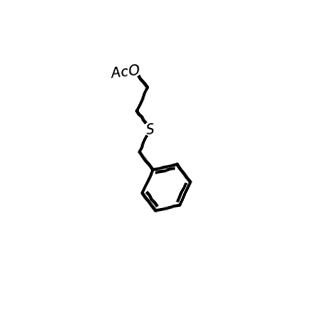 CC(=O)OCCSCc1ccccc1